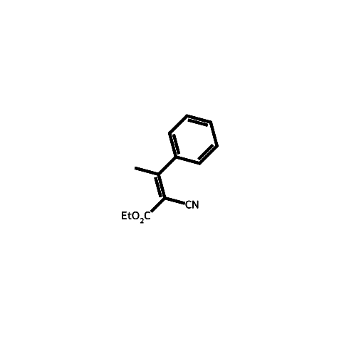 CCOC(=O)C(C#N)=C(C)c1ccccc1